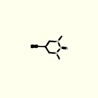 C#CC1CN(C)S(=S)N(C)C1